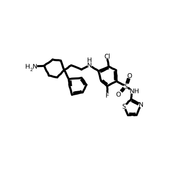 NC1CCC(CCNc2cc(F)c(S(=O)(=O)Nc3nccs3)cc2Cl)(c2ccccc2)CC1